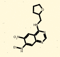 CCNc1cc2ncnc(NCC3CCCO3)c2cc1[N+](=O)[O-]